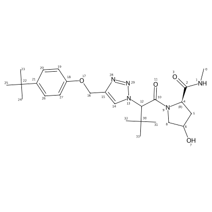 CNC(=O)[C@H]1CC(O)CN1C(=O)C(n1cc(COc2ccc(C(C)(C)C)cc2)nn1)C(C)(C)C